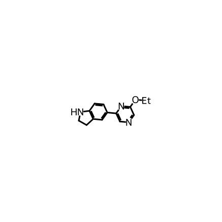 CCOc1cncc(-c2ccc3c(c2)CCN3)n1